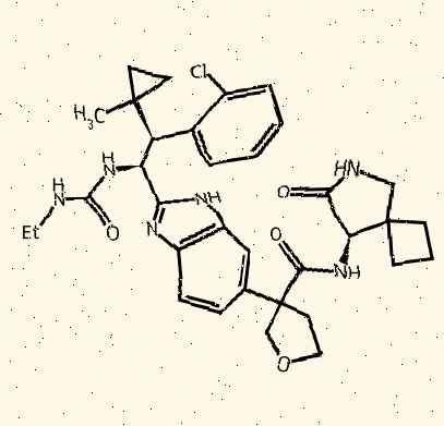 CCNC(=O)N[C@H](c1nc2ccc(C3(C(=O)N[C@H]4C(=O)NCC45CCC5)CCOC3)cc2[nH]1)[C@H](c1ccccc1Cl)C1(C)CC1